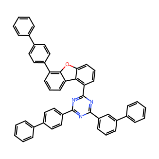 c1ccc(-c2ccc(-c3nc(-c4cccc(-c5ccccc5)c4)nc(-c4cccc5oc6c(-c7ccc(-c8ccccc8)cc7)cccc6c45)n3)cc2)cc1